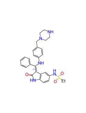 CCS(=O)(=O)Nc1ccc2c(c1)/C(=C(\Nc1ccc(CN3CCNCC3)cc1)c1ccccc1)C(=O)N2